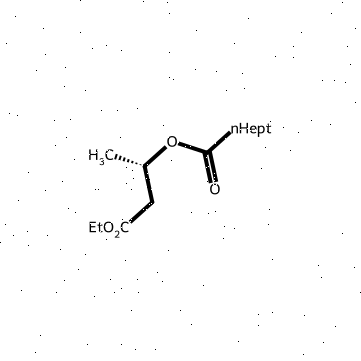 CCCCCCCC(=O)O[C@@H](C)CC(=O)OCC